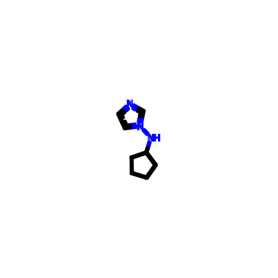 c1cn(NC2CCCC2)cn1